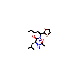 CCCCC(NC(=O)[C@H](CC(C)C)NC(C)=O)C1SCCS1